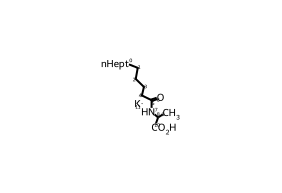 CCCCCCCCCCCC(=O)NC(C)C(=O)O.[K]